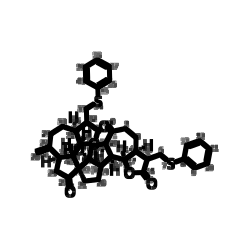 C=C1CC[C@H]2C(CSc3ccccc3)C(=O)O[C@@H]2[C@H]2[C@H]3CC[C@]4(C(=O)C[C@H]5C(=C)CC[C@H]6C(CSc7ccccc7)C(=O)O[C@@H]6[C@H]54)[C@@]3(O)C[C@@H]12